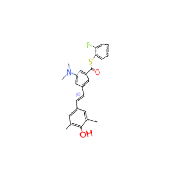 Cc1cc(/C=C/c2cc(C(=O)Sc3ccccc3F)cc(N(C)C)c2)cc(C)c1O